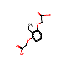 CCc1c(OCC(=O)O)cccc1OCC(=O)O